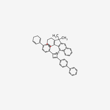 CC1(C)C2=C(C=CCC2)c2c1cc1ccccc1c2[N+]1=C(c2ccc(C3=CCCC=C3)cc2)C=C1c1ccc(-c2ccccc2)cc1